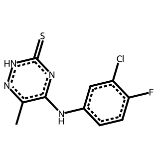 Cc1n[nH]c(=S)nc1Nc1ccc(F)c(Cl)c1